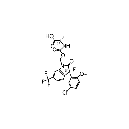 COc1ccc(Cl)cc1[C@]1(F)C(=O)N(COC(=O)N[C@@H](C)C(=O)O)c2cc(C(F)(F)F)ccc21